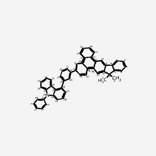 CC1(C)c2ccccc2-c2cc3c4ccccc4c4cc(-c5cccc(-c6cccc7c6c6ccccc6n7-c6ccccc6)c5)ccc4c3cc21